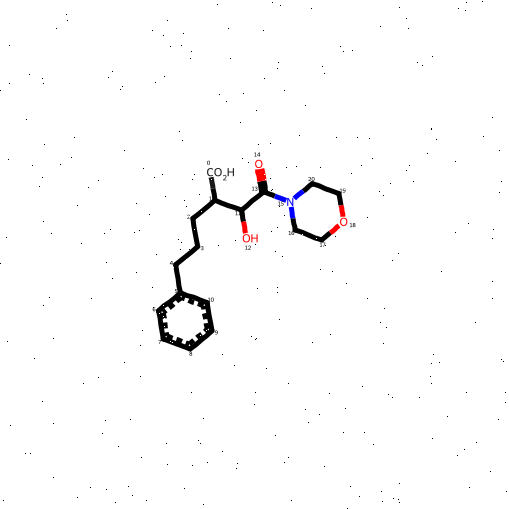 O=C(O)C(CCCc1ccccc1)C(O)C(=O)N1CCOCC1